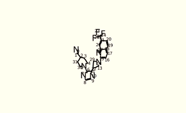 N#CC1CCN(c2nccnc2C2CN(c3ccc4ccc(C(F)(F)F)cc4n3)C2)CC1